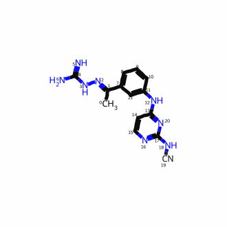 C/C(=N\NC(=N)N)c1cccc(Nc2ccnc(NC#N)n2)c1